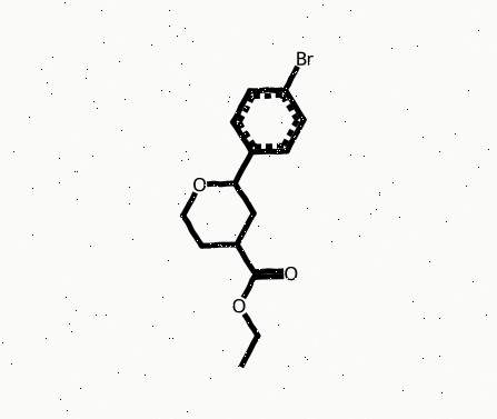 CCOC(=O)C1CCOC(c2ccc(Br)cc2)C1